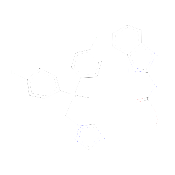 COC(=O)Nc1nc2ccccc2[nH]1.C[Si](Cn1cncn1)(c1ccc(F)cc1)c1ccc(F)cc1